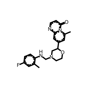 Cc1cc(F)ccc1NCN1CCOC(c2cc(C)n3c(=O)ccnc3c2)C1